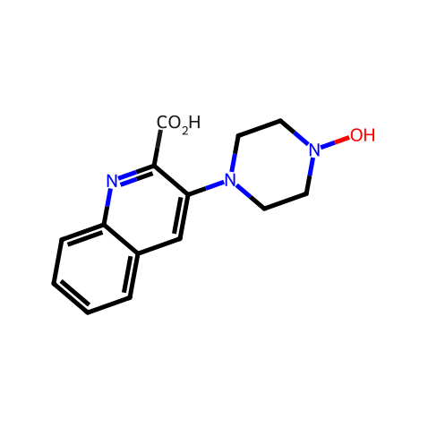 O=C(O)c1nc2ccccc2cc1N1CCN(O)CC1